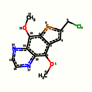 COc1c2cc(CCl)sc2c(OC)c2nccnc12